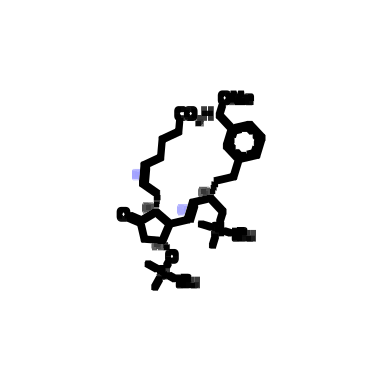 COCc1cccc(CC[C@@H](/C=C/C2[C@H](O[Si](C)(C)C(C)(C)C)CC(=O)[C@@H]2C/C=C\CCCC(=O)O)C[Si](C)(C)C(C)(C)C)c1